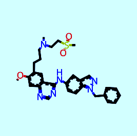 COc1cc2ncnc(Nc3ccc4c(cnn4Cc4ccccc4)c3)c2cc1CCCN(C)CCS(C)(=O)=O